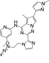 COc1ccnc(Nc2nc(-c3nccn3CCN=[N+]=[N-])nn3cc(-c4ccn(C)n4)c(C)c23)c1